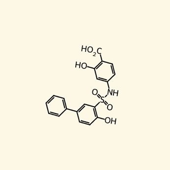 O=C(O)c1ccc(NS(=O)(=O)c2cc(-c3ccccc3)ccc2O)cc1O